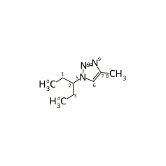 CCC(CC)n1cc(C)nn1